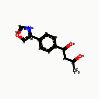 O=C(CC(=O)C(F)(F)F)c1ccc(-c2cocn2)cc1